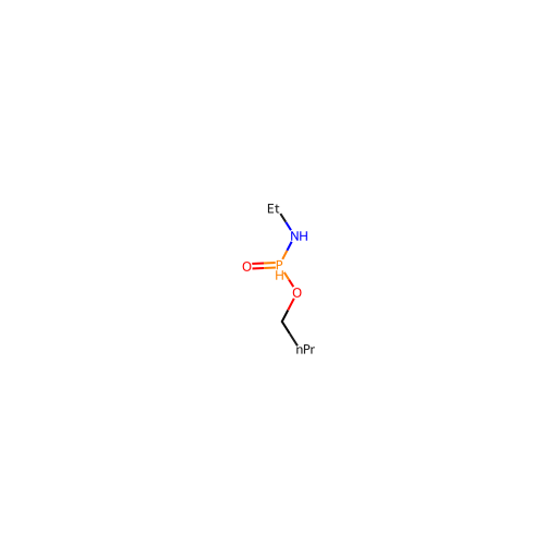 CCCCO[PH](=O)NCC